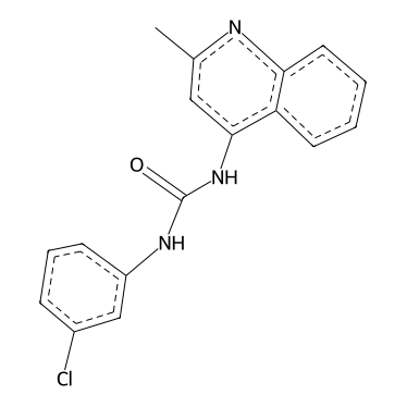 Cc1cc(NC(=O)Nc2cccc(Cl)c2)c2ccccc2n1